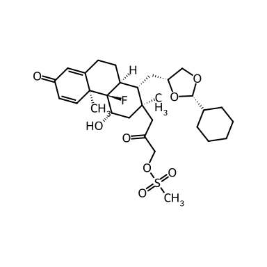 C[C@]1(CC(=O)COS(C)(=O)=O)C[C@H](O)[C@@]2(F)[C@@H](CCC3=CC(=O)C=C[C@@]32C)[C@@H]1C[C@@H]1CO[C@H](C2CCCCC2)O1